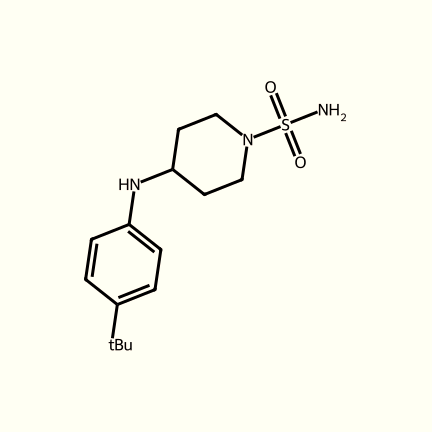 CC(C)(C)c1ccc(NC2CCN(S(N)(=O)=O)CC2)cc1